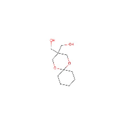 OCC1(CO)COC2(CCCCC2)OC1